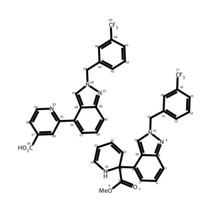 COC(=O)C1(c2cccc3nn(Cc4cccc(C(F)(F)F)c4)cc23)C=CC=CN1.O=C(O)c1ccnc(-c2cccc3nn(Cc4cccc(C(F)(F)F)c4)cc23)c1